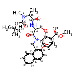 COC(=O)c1cccc2c1OCC(NC(=O)C(C)N(C)C(=O)OC(C)(C)C)C(=O)N2Cc1c(OC)ccc2ccccc12